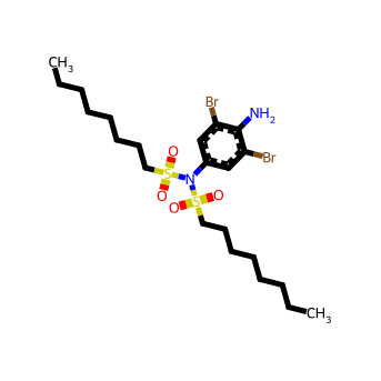 CCCCCCCCS(=O)(=O)N(c1cc(Br)c(N)c(Br)c1)S(=O)(=O)CCCCCCCC